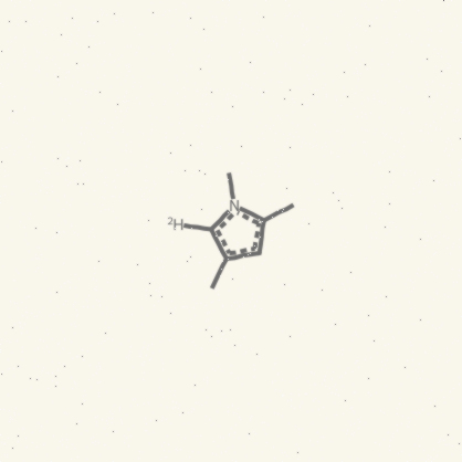 [2H]c1c(C)cc(C)n1C